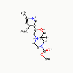 COc1cc(C(F)(F)F)ncc1[C@@H]1CN2CCN(C(=O)OC(C)(C)C)C[C@H]2CO1